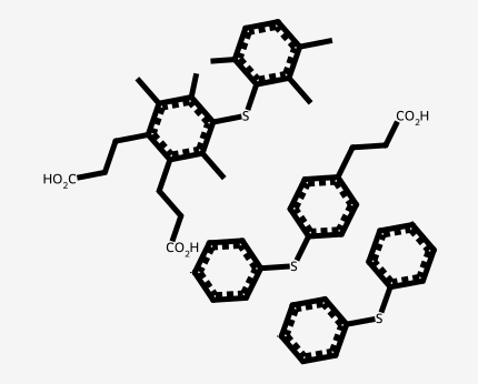 Cc1ccc(C)c(Sc2c(C)c(C)c(CCC(=O)O)c(CCC(=O)O)c2C)c1C.O=C(O)CCc1ccc(Sc2cc[c]cc2)cc1.[c]1ccc(Sc2cc[c]cc2)cc1